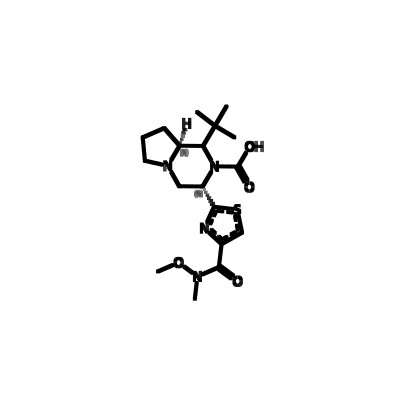 CON(C)C(=O)c1csc([C@@H]2CN3CCC[C@H]3C(C(C)(C)C)N2C(=O)O)n1